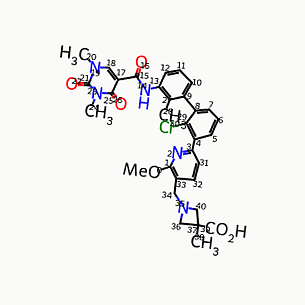 COc1nc(-c2cccc(-c3cccc(NC(=O)c4cn(C)c(=O)n(C)c4=O)c3C)c2Cl)ccc1CN1CC(C)(C(=O)O)C1